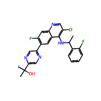 CC(Nc1c(Cl)cnc2cc(F)c(-c3cnc(C(C)(O)I)cn3)cc12)c1ccccc1F